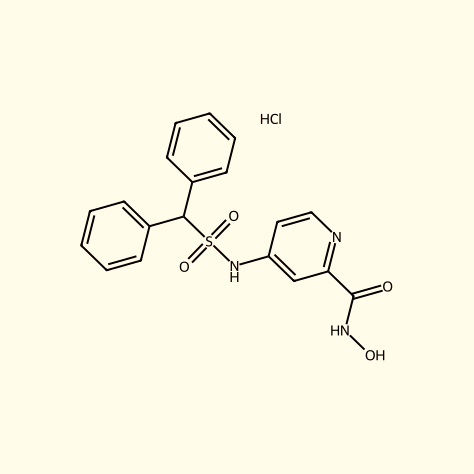 Cl.O=C(NO)c1cc(NS(=O)(=O)C(c2ccccc2)c2ccccc2)ccn1